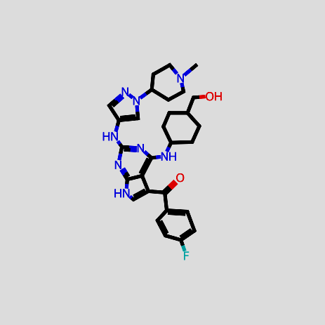 CN1CCC(n2cc(Nc3nc(NC4CCC(CO)CC4)c4c(C(=O)c5ccc(F)cc5)c[nH]c4n3)cn2)CC1